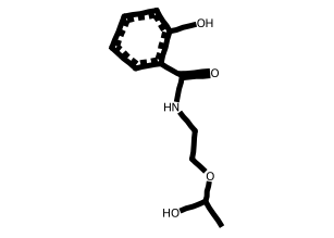 CC(O)OCCNC(=O)c1ccccc1O